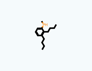 CCCCc1cccc(PC)c1CCCC